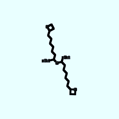 CCCCCCCCC(CCCCCCC1CCO1)OC(CCCCCCCC)CCCCCCC1CCO1